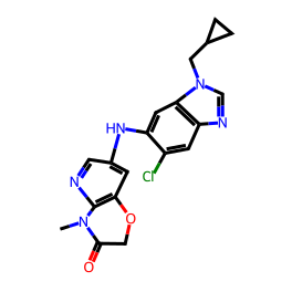 CN1C(=O)COc2cc(Nc3cc4c(cc3Cl)ncn4CC3CC3)cnc21